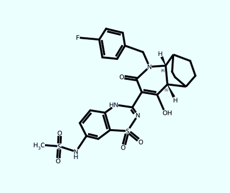 CS(=O)(=O)Nc1ccc2c(c1)S(=O)(=O)N=C(C1=C(O)[C@H]3C4CCC(CC4)[C@H]3N(Cc3ccc(F)cc3)C1=O)N2